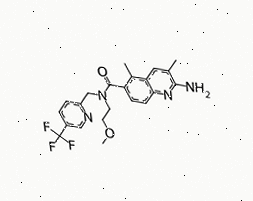 COCCN(Cc1ccc(C(F)(F)F)cn1)C(=O)c1ccc2nc(N)c(C)cc2c1C